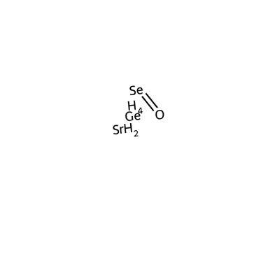 O=[Se].[GeH4].[SrH2]